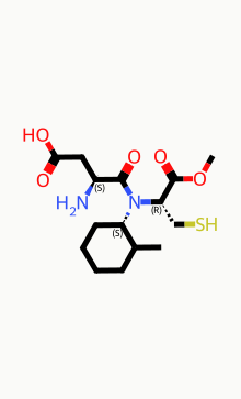 COC(=O)[C@H](CS)N(C(=O)[C@@H](N)CC(=O)O)[C@H]1CCCCC1C